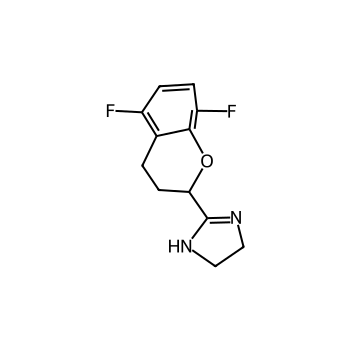 Fc1ccc(F)c2c1CCC(C1=NCCN1)O2